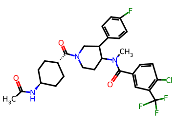 CC(=O)N[C@H]1CC[C@H](C(=O)N2CCC(N(C)C(=O)c3ccc(Cl)c(C(F)(F)F)c3)C(c3ccc(F)cc3)C2)CC1